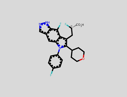 O=C(O)[C@@H](F)Cc1c(C2CCOCC2)n(-c2ccc(F)cc2)c2cc3cn[nH]c3c(F)c12